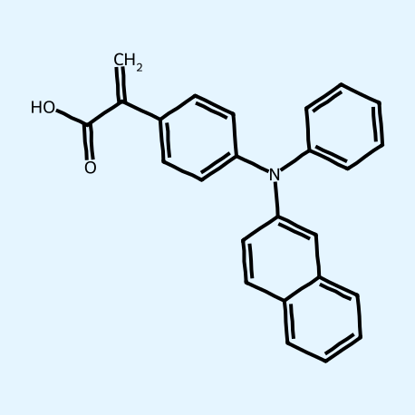 C=C(C(=O)O)c1ccc(N(c2ccccc2)c2ccc3ccccc3c2)cc1